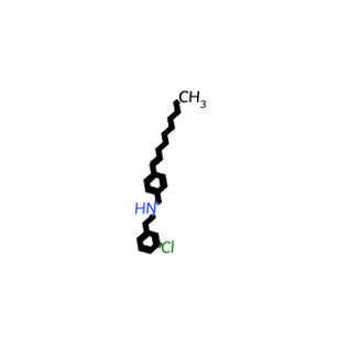 CCCCCCCCC=Cc1ccc(CNCCc2cccc(Cl)c2)cc1